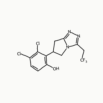 Oc1ccc(Cl)c(Cl)c1C1Cc2nnc(CC(F)(F)F)n2C1